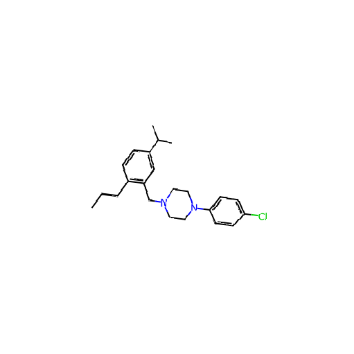 CCCc1ccc(C(C)C)cc1CN1CCN(c2ccc(Cl)cc2)CC1